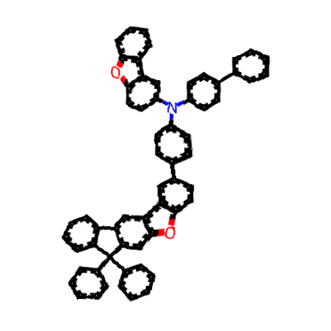 c1ccc(-c2ccc(N(c3ccc(-c4ccc5oc6cc7c(cc6c5c4)-c4ccccc4C7(c4ccccc4)c4ccccc4)cc3)c3ccc4oc5ccccc5c4c3)cc2)cc1